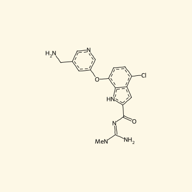 CNC(N)=NC(=O)c1cc2c(Cl)ccc(Oc3cncc(CN)c3)c2[nH]1